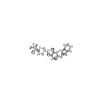 CC(F)(F)C(=O)N1CCC(COc2coc(Cn3cc4ccccc4c3)cc2=O)CC1